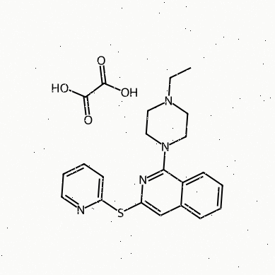 CCN1CCN(c2nc(Sc3ccccn3)cc3ccccc23)CC1.O=C(O)C(=O)O